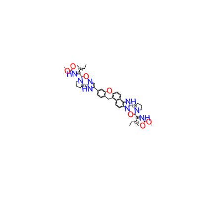 CC[C@H](C)[C@H](NC(=O)OC)C(=O)N1CCC[C@H]1c1ncc(-c2ccc3c(c2)Oc2ccc4c(ccc5nc([C@@H]6CCCN6C(=O)[C@@H](NC(=O)OC)[C@@H](C)CC)[nH]c54)c2C3)[nH]1